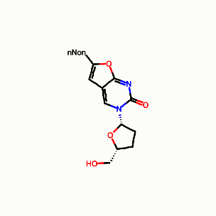 CCCCCCCCCc1cc2cn([C@@H]3CC[C@H](CO)O3)c(=O)nc2o1